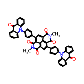 CN1C(=O)c2cc(-c3ccc(-n4c5ccccc5c(=O)c5ccccc54)cc3)c3c4c(cc(-c5ccc(-n6c7ccccc7c(=O)c7ccccc76)cc5)c(c24)C1=O)C(=O)N(C)C3=O